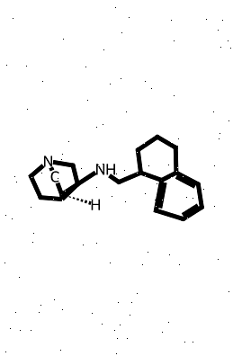 c1ccc2c(c1)CCCC2CN[C@@H]1CN2CCC1CC2